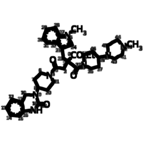 CCOC(=O)C(CC(=O)N1CCC(N2Cc3ccccc3NC2=O)CC1)(Cc1cn(C)c2ccccc12)C(=O)N1CCC(N2CCN(C)CC2)CC1